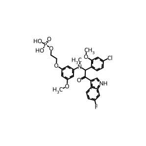 COc1cc(OCCOP(=O)(O)O)cc(N(C)C(C(=O)c2c[nH]c3cc(F)ccc23)c2ccc(Cl)cc2OC)c1